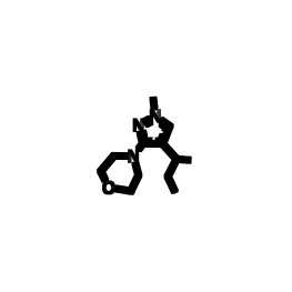 CCC(C)c1cn(C)nc1N1CCOCC1